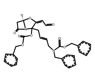 O=CC=C1O[C@@H]2CC(=O)N2C1(CC=CCN(Cc1ccccc1)C(=O)OCc1ccccc1)OC(=O)OCc1ccccc1